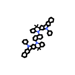 CC1(C)c2ccccc2N(c2cccc3c(N4c5ccccc5C(C)(C)c5cc6c7cc8ccccc8cc7n(-c7ccccc7)c6cc54)cccc23)c2cc3c(cc21)c1cc2ccccc2cc1n3-c1ccccc1